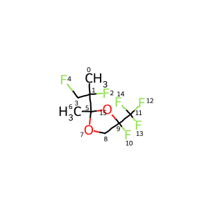 CC(F)(CF)C1(C)OCC(F)(C(F)(F)F)O1